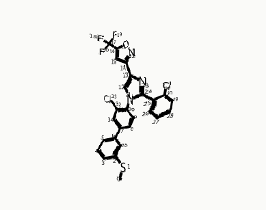 CSc1cccc(-c2ccc(-n3cc(-c4cc(C(F)(F)F)on4)nc3-c3ccccc3Cl)c(Cl)c2)c1